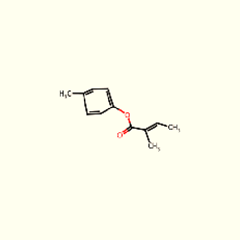 CC=C(C)C(=O)Oc1ccc(C)cc1